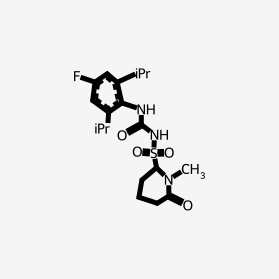 CC(C)c1cc(F)cc(C(C)C)c1NC(=O)NS(=O)(=O)C1CCCC(=O)N1C